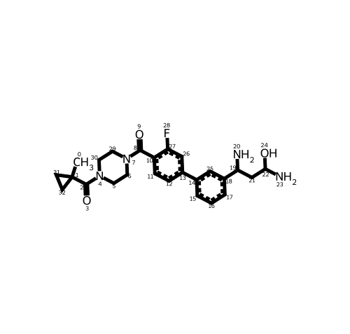 CC1(C(=O)N2CCN(C(=O)c3ccc(-c4cccc(C(N)CC(N)O)c4)cc3F)CC2)CC1